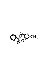 CC1CC(=O)N(OS(=O)(=O)c2ccccc2)C1